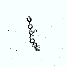 CC(C)(C)OC(=O)CC1(O)CCN(CC2CN(C3CCN(c4ccncc4)CC3)C(=O)O2)CC1